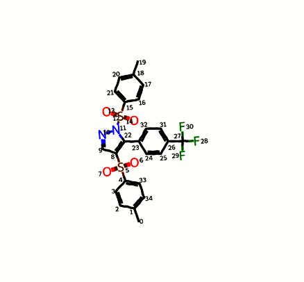 Cc1ccc(S(=O)(=O)c2cnn(S(=O)(=O)c3ccc(C)cc3)c2-c2ccc(C(F)(F)F)cc2)cc1